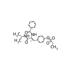 CCS(=O)(=O)Oc1ccc(/C=C(\NC(=O)c2ccccc2)C(=O)NC(C)C)cc1